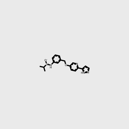 CC(C)[S+]([O-])Nc1cccc(COc2ccc(-c3ccn[nH]3)nc2)c1